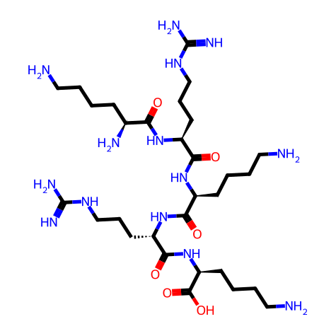 N=C(N)NCCC[C@H](NC(=O)[C@H](CCCCN)NC(=O)[C@H](CCCNC(=N)N)NC(=O)[C@@H](N)CCCCN)C(=O)N[C@@H](CCCCN)C(=O)O